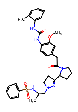 COc1cc(CC(=O)N2CCCC2C2=NN(CC(C)NS(=O)(=O)c3ccccc3)CC2)ccc1NC(=O)Nc1ccccc1C